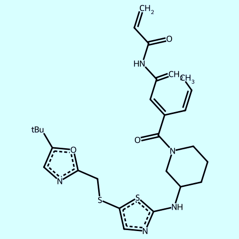 C=CC(=O)NC(=C)/C=C(\C=C/C)C(=O)N1CCCC(Nc2ncc(SCc3ncc(C(C)(C)C)o3)s2)C1